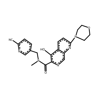 CN(Cc1ccc(C#N)nc1)C(=O)c1ncc2nc(N3CCOCC3)ccc2c1O